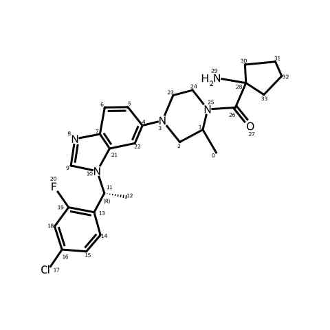 CC1CN(c2ccc3ncn([C@H](C)c4ccc(Cl)cc4F)c3c2)CCN1C(=O)C1(N)CCCC1